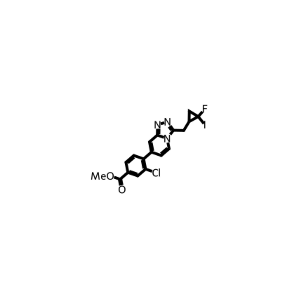 COC(=O)c1ccc(-c2ccn3c(CC4CC4(F)I)nnc3c2)c(Cl)c1